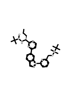 CCC[C@H](N[S+]([O-])C(C)(C)C)c1nccc(-c2ccc3cnn(-c4cccc(CO[Si](C)(C)C(C)(C)C)n4)c3c2)n1